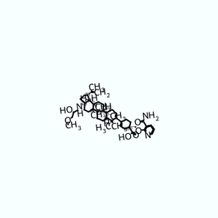 C=C(C)[C@@H]1CC[C@]2(NCC(O)COC)CC[C@]3(C)[C@H](CC[C@@H]4[C@@]5(C)CC=C(C6=CC[C@](COc7ncccc7C(N)=O)(C(=O)O)CC6)C(C)(C)[C@@H]5CC[C@]43C)[C@@H]12